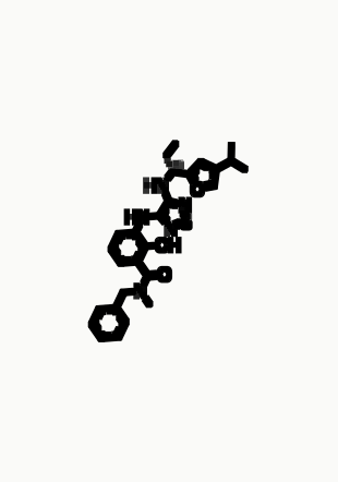 CC[C@@H](Nc1nsnc1Nc1cccc(C(=O)N(C)Cc2ccccc2)c1O)c1cc(C(C)C)co1